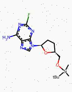 CC(C)(C)[Si](C)(C)OC[C@@H]1CC[C@H](n2cnc3c(N)nc(F)nc32)O1